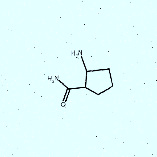 NC(=O)C1CCCC1N